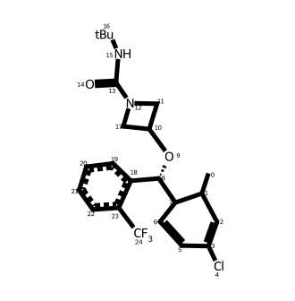 CC1C=C(Cl)C=CC1[C@@H](OC1CN(C(=O)NC(C)(C)C)C1)c1ccccc1C(F)(F)F